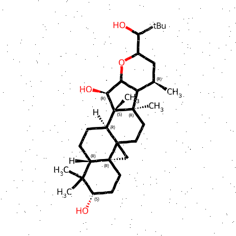 C[C@@H]1CC(C(O)C(C)(C)C)OC2C1[C@@]1(C)CCC34C[C@@]35CC[C@H](O)C(C)(C)[C@@H]5CC[C@H]4[C@]1(C)[C@H]2O